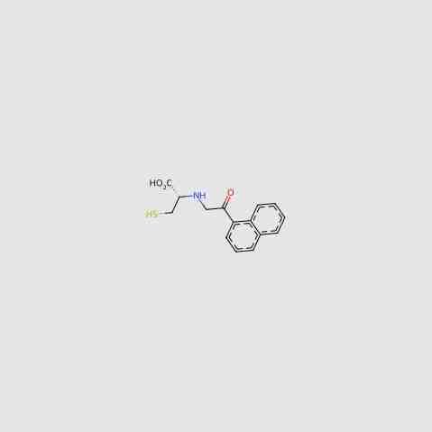 O=C(CN[C@H](CS)C(=O)O)c1cccc2ccccc12